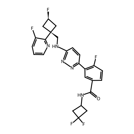 O=C(NC1CC(F)(F)C1)c1ccc(F)c(-c2ccc(NC[C@]3(c4ncccc4F)C[C@H](F)C3)nn2)c1